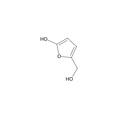 OCc1ccc(O)o1